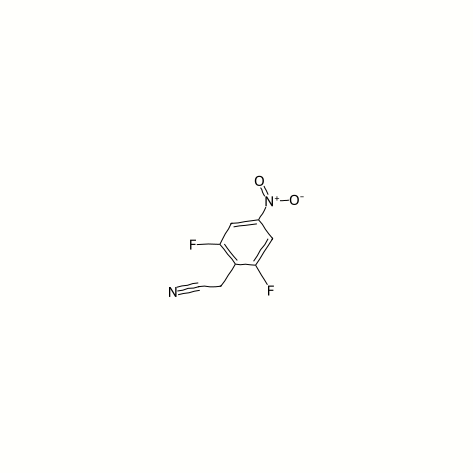 N#CCc1c(F)cc([N+](=O)[O-])cc1F